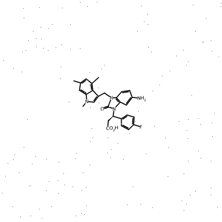 Cc1cc(C)c2c(Cn3c(=O)n([C@H](CC(=O)O)c4ccc(F)cc4)c4cc(N)ccc43)cn(C)c2c1